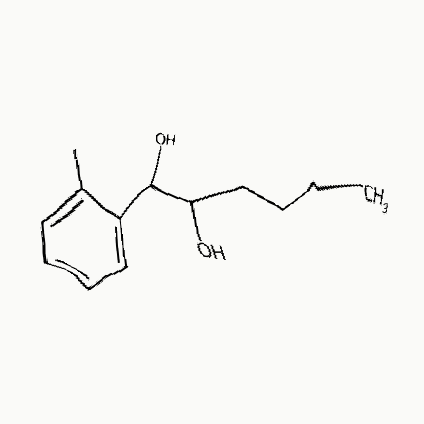 CCCCC(O)C(O)c1ccccc1I